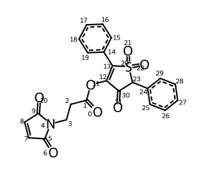 O=C(CCN1C(=O)C=CC1=O)OC1=C(c2ccccc2)S(=O)(=O)C(c2ccccc2)C1=O